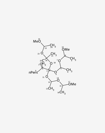 CCCCCC(=O)[Si](OC(C)OC(C)OC)(OC(C)OC(C)OC)OC(C)(C)OC(C)OC